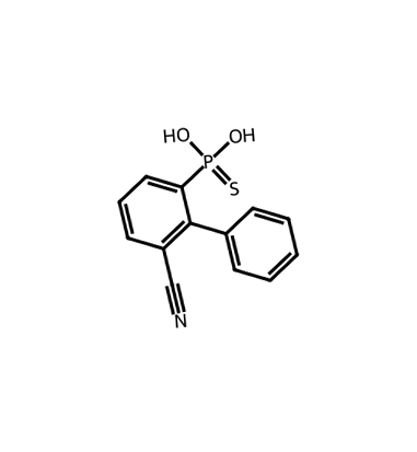 N#Cc1cccc(P(O)(O)=S)c1-c1ccccc1